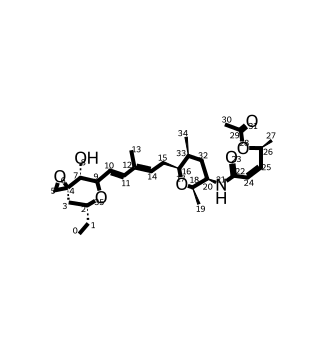 CC[C@@H]1C[C@@]2(CO2)[C@H](O)C(/C=C/C(C)=C/C[C@@H]2O[C@H](C)[C@H](NC(=O)/C=C\[C@H](C)OC(C)=O)C[C@@H]2C)O1